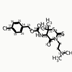 CN(C)CCN1C(=O)C(NC(=O)OCc2ccc(Cl)cc2)C(C)(C)SC1=S